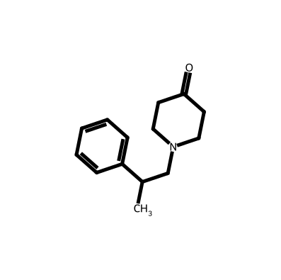 CC(CN1CCC(=O)CC1)c1ccccc1